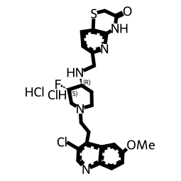 COc1ccc2ncc(Cl)c(CCN3CC[C@@H](NCc4ccc5c(n4)NC(=O)CS5)[C@@H](F)C3)c2c1.Cl.Cl